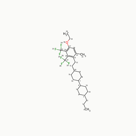 CCCC1CCC(C2CCC(CCc3c(C)cc(OCC)c(C(F)(F)F)c3C(F)(F)F)CC2)CC1